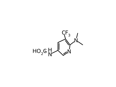 CN(C)c1ncc(NC(=O)O)cc1C(F)(F)F